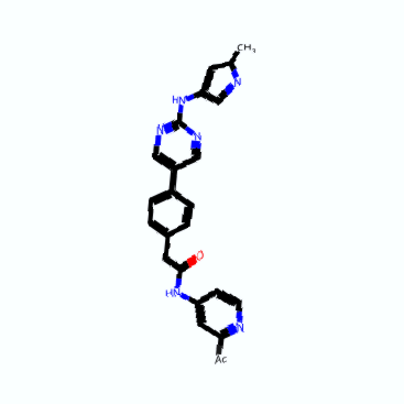 CC(=O)c1cc(NC(=O)Cc2ccc(-c3cnc(NC4=CC(C)N=C4)nc3)cc2)ccn1